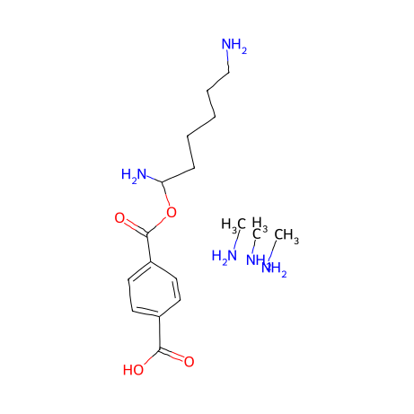 CN.CN.CN.NCCCCCC(N)OC(=O)c1ccc(C(=O)O)cc1